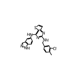 Cc1ccc(CNc2nc(Nc3ccc4[nH]ncc4c3)c3sccc3n2)cc1Cl